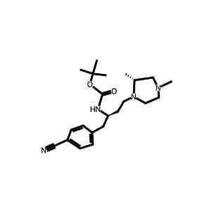 C[C@@H]1CN(C)CCN1CC[C@@H](Cc1ccc(C#N)cc1)NC(=O)OC(C)(C)C